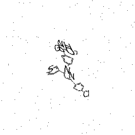 NS(=O)(=O)c1ccc(-n2nc(-c3ccc(Cl)cc3)cc2-c2ccsc2)cc1